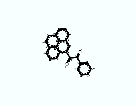 O=C(C(=O)c1cc2cccc3ccc4cccc1c4c32)c1ccccc1